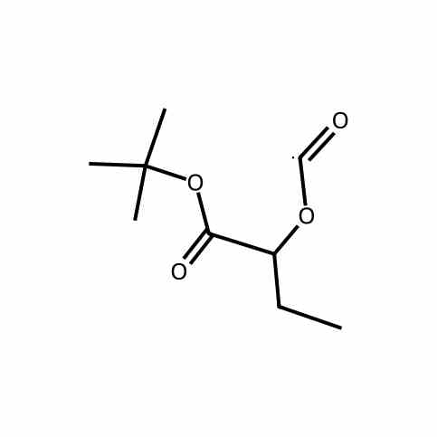 CCC(O[C]=O)C(=O)OC(C)(C)C